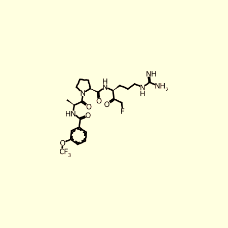 C[C@H](NC(=O)c1cccc(OC(F)(F)F)c1)C(=O)N1CCC[C@H]1C(=O)N[C@@H](CCCNC(=N)N)C(=O)CF